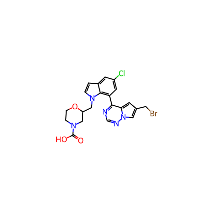 O=C(O)N1CCOC(Cn2ccc3cc(Cl)cc(-c4ncnn5cc(CBr)cc45)c32)C1